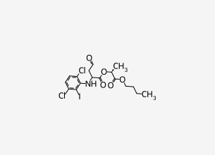 CCCCOC(=O)[C@H](C)OC(=O)C(CC=O)Nc1c(Cl)ccc(Cl)c1I